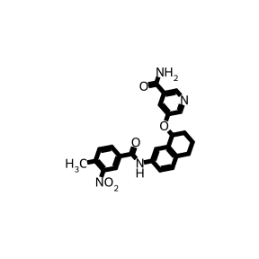 Cc1ccc(C(=O)Nc2ccc3c(c2)C(Oc2cncc(C(N)=O)c2)CCC3)cc1[N+](=O)[O-]